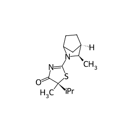 CC(C)[C@]1(C)SC(N2C3CC[C@H](C3)[C@H]2C)=NC1=O